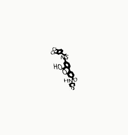 CN1CCC(NC(=O)c2ccc(-c3ccc(-c4nc(-c5ccc(Cl)c(Cl)c5)cs4)cc3C(=O)O)cc2)CC1